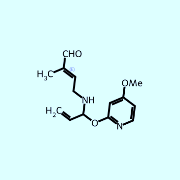 C=CC(NC/C=C(\C)C=O)Oc1cc(OC)ccn1